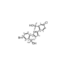 CC(C)(O)c1cc(Cl)ccc1-c1ccc(-c2ccc(Br)cc2C(C)(C)O)o1